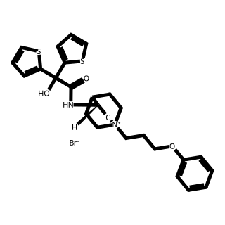 O=C(N[C@H]1C[N+]2(CCCOc3ccccc3)CCC1CC2)C(O)(c1cccs1)c1cccs1.[Br-]